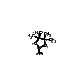 CCCN1OC(C)(C)C(C)(C)O1